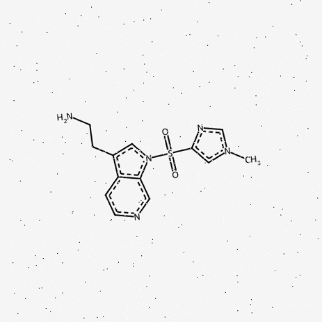 Cn1cnc(S(=O)(=O)n2cc(CCN)c3ccncc32)c1